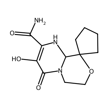 NC(=O)C1=C(O)C(=O)N2CCOC3(CCCC3)C2N1